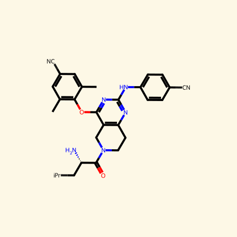 Cc1cc(C#N)cc(C)c1Oc1nc(Nc2ccc(C#N)cc2)nc2c1CN(C(=O)[C@@H](N)CC(C)C)CC2